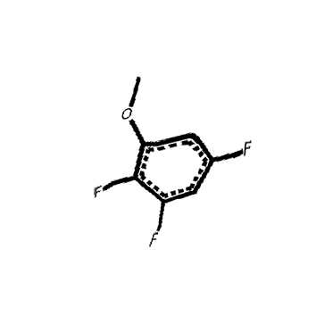 COc1cc(F)cc(F)c1F